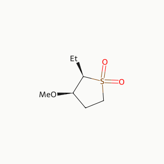 CC[C@@H]1[C@H](OC)CCS1(=O)=O